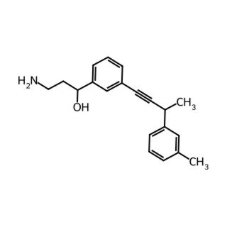 Cc1cccc(C(C)C#Cc2cccc(C(O)CCN)c2)c1